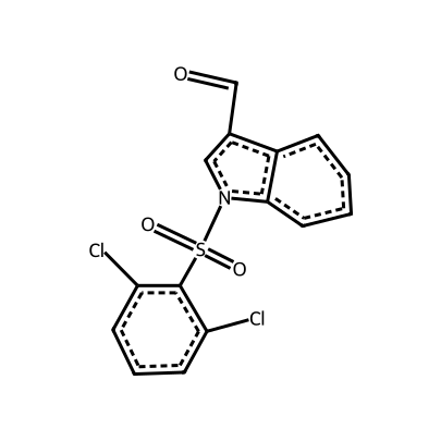 O=Cc1cn(S(=O)(=O)c2c(Cl)cccc2Cl)c2ccccc12